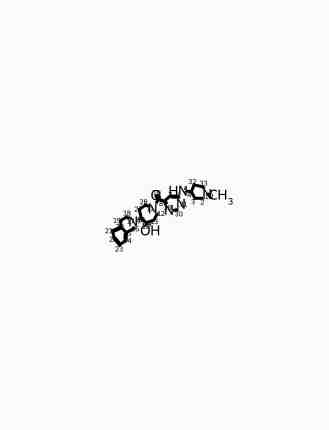 CN1CCC(Nc2cc(C(=O)N3CC[C@@H](O)[C@H](N4CCc5ccccc5C4)CC3)ncn2)CC1